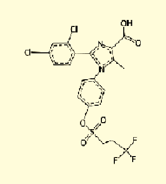 Cc1c(C(=O)O)nc(-c2ccc(Cl)cc2Cl)n1-c1ccc(OS(=O)(=O)CCC(F)(F)F)cc1